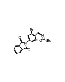 CC(C)(C)[S+]([O-])/N=C\c1ncc(N2C(=O)c3ccccc3C2=O)cc1Br